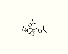 CO[C@@H]1CO[C@H](COC(C)C)C1OC(C)C